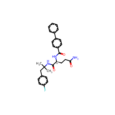 CC(C)(Cc1ccc(F)cc1)NC(=O)[C@H](CCC(N)=O)NC(=O)c1ccc(-c2ccccc2)cc1